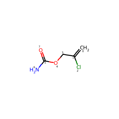 C=C(Cl)COC(N)=O